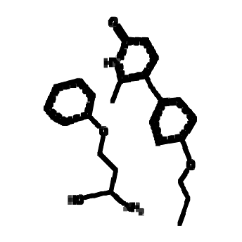 CCCOc1ccc(-c2ccc(=O)[nH]c2C)cc1.NC(O)CCOc1ccccc1